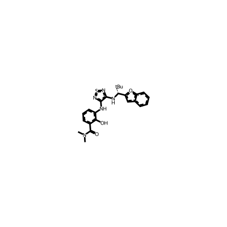 CN(C)C(=O)c1cccc(Nc2nsnc2N[C@@H](c2cc3ccccc3o2)C(C)(C)C)c1O